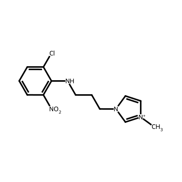 C[n+]1ccn(CCCNc2c(Cl)cccc2[N+](=O)[O-])c1